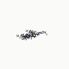 C=C/C=C\C=C/Cc1ccc(CNC(/C=C\C(=C)CCC(=C)O)=C/C)c(OC(C)C)n1